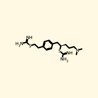 CN(C)CCC[C@H](Cc1ccc(CCSC(=N)N)cc1)SC(=N)N